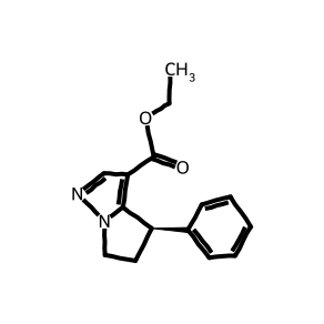 CCOC(=O)c1cnn2c1[C@@H](c1ccccc1)CC2